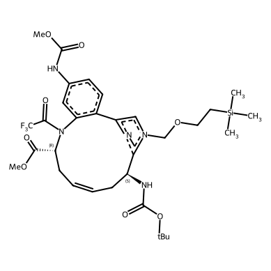 COC(=O)Nc1ccc2c(c1)N(C(=O)C(F)(F)F)[C@@H](C(=O)OC)CC=CC[C@H](NC(=O)OC(C)(C)C)c1nc-2cn1COCC[Si](C)(C)C